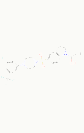 CC(O)N1CCc2cc(S(=O)(=O)N3CCN(c4cc(F)cc(C(F)(F)F)c4)CC3)ccc21